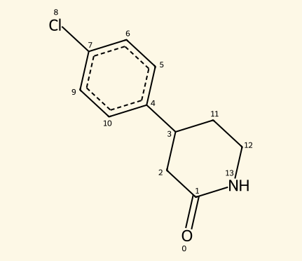 O=C1CC(c2ccc(Cl)cc2)CCN1